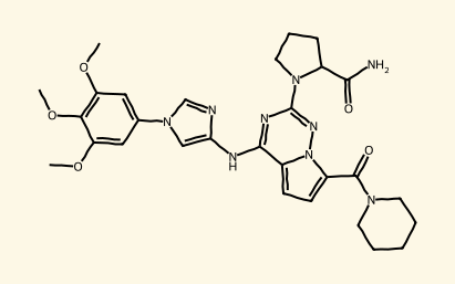 COc1cc(-n2cnc(Nc3nc(N4CCCC4C(N)=O)nn4c(C(=O)N5CCCCC5)ccc34)c2)cc(OC)c1OC